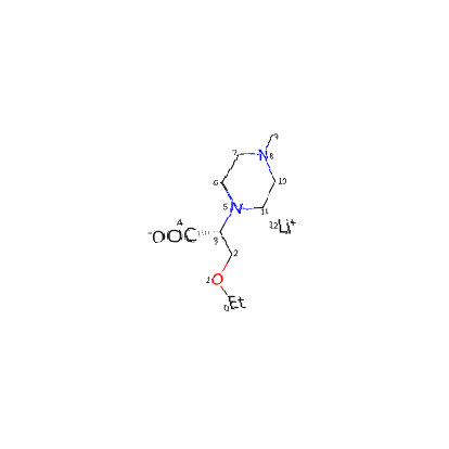 CCOC[C@H](C(=O)[O-])N1CCN(C)CC1.[Li+]